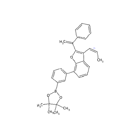 C=C(c1ccccc1)c1oc2c(-c3cccc(B4OC(C)(C)C(C)(C)O4)c3)cccc2c1/C=C\C